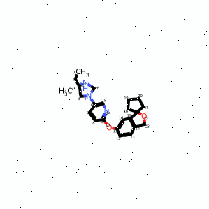 CC[C@]1(C)CN(c2ccc(Oc3ccc4c(c3)C3(CCCC3)OC4)nc2)CN1